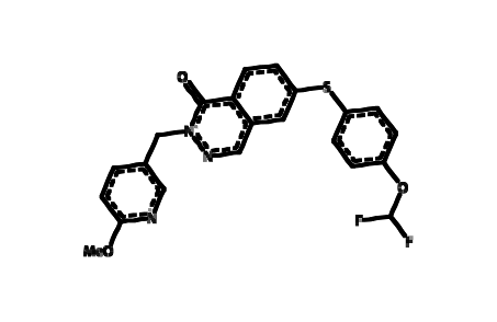 COc1ccc(Cn2ncc3cc(Sc4ccc(OC(F)F)cc4)ccc3c2=O)cn1